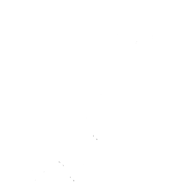 CCOC(=O)c1cccc(Sc2c(C)n(-c3cnn(C4CC4)c3)c3c(F)c(Cl)ccc23)c1